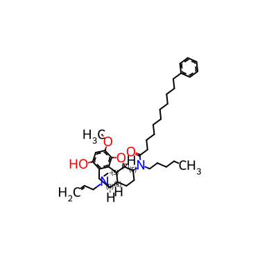 C=CCN1CC[C@]23c4c5c(O)cc(OC)c4O[C@H]2[C@@H](N(CCCCC)C(=O)CCCCCCCCCCc2ccccc2)CC[C@H]3[C@H]1C5